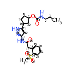 CCCNC(=O)OC1CCC(c2cc(NC(=O)Cc3ccccc3S(C)(=O)=O)n[nH]2)C1